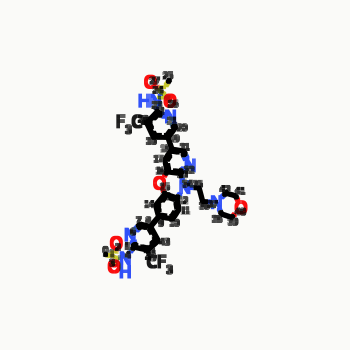 CS(=O)(=O)Nc1ncc(-c2ccc3c(c2)Oc2cc(-c4cnc(NS(C)(=O)=O)c(C(F)(F)F)c4)cnc2N3CCN2CCOCC2)cc1C(F)(F)F